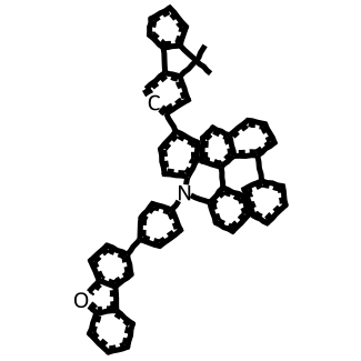 CC1(C)c2ccccc2-c2ccc(-c3ccc(N(c4ccc(-c5ccc6oc7ccccc7c6c5)cc4)c4ccccc4-c4cccc5cccc(-c6ccccc6)c45)cc3)cc21